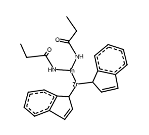 CCC(=O)[NH][In]([NH]C(=O)CC)[Zr]([CH]1C=Cc2ccccc21)[CH]1C=Cc2ccccc21